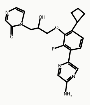 Nc1cnc(-c2ccc(C3CCC3)c(OCC(O)Cn3ccncc3=O)c2F)cn1